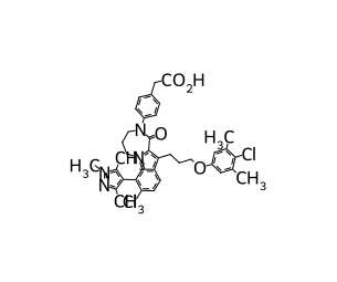 Cc1cc(OCCCc2c3n(c4c(-c5c(C)nn(C)c5C)c(Cl)ccc24)CCCN(c2ccc(CC(=O)O)cc2)C3=O)cc(C)c1Cl